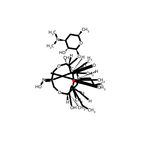 CCCN1C[C@H](C)[C@H]2OC/C(=N\O)CO[C@](C)(C[C@H]1C)[C@H](O[C@@H]1O[C@H](C)C[C@H](N(C)C)[C@H]1O)[C@@H](C)C(=O)[C@@H](C)C(=O)O[C@H](CC)[C@@]2(C)O